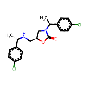 C[C@H](NC[C@H]1CN([C@@H](C)c2ccc(Cl)cc2)C(=O)O1)c1ccc(Cl)cc1